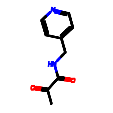 CC(=O)C(=O)NCc1ccncc1